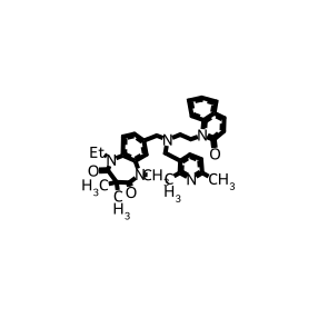 CCN1C(=O)C(C)(C)C(=O)N(C)c2cc(CN(CCn3c(=O)ccc4ccccc43)Cc3ccc(C)nc3C)ccc21